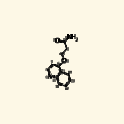 NC(=O)C[CH]Oc1ccnc2ccccc12